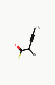 CC#CC(CC)C(=O)[S]